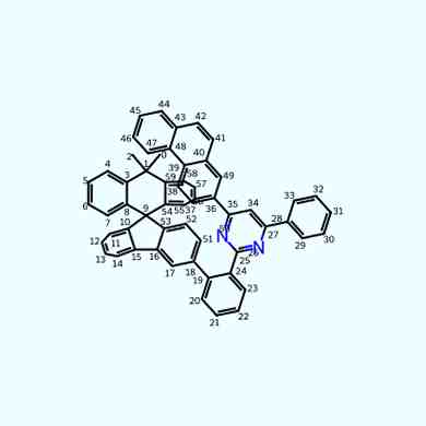 CC1(C)c2ccccc2C2(c3ccccc3-c3cc(-c4ccccc4-c4nc(-c5ccccc5)cc(-c5ccc6c(ccc7ccccc76)c5)n4)ccc32)c2ccccc21